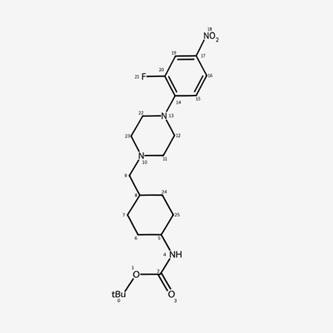 CC(C)(C)OC(=O)NC1CCC(CN2CCN(c3ccc([N+](=O)[O-])cc3F)CC2)CC1